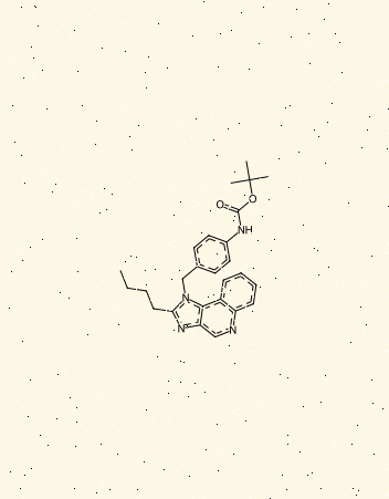 CCCCc1nc2cnc3ccccc3c2n1Cc1ccc(NC(=O)OC(C)(C)C)cc1